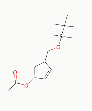 CC(=O)OC1C=CC(CO[Si](C)(C)C(C)(C)C)C1